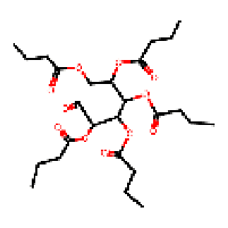 CCCC(=O)OCC(OC(=O)CCC)C(OC(=O)CCC)C(OC(=O)CCC)C(C=O)OC(=O)CCC